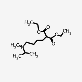 CCOC(=O)C(CCCCN(C)C(C)C)C(=O)OCC